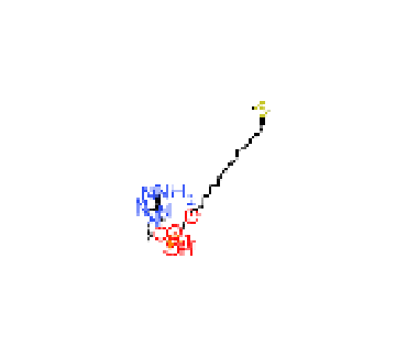 C[C@H](Cn1cnc2c(N)ncnc21)OCP(=O)(O)OCCOCCCCCCCCCCCCCCC#CS(C)(C)C